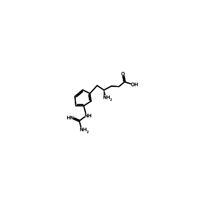 N=C(N)Nc1cccc(C[C@H](N)CCC(=O)O)c1